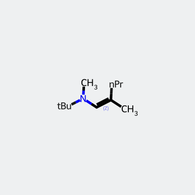 CCC/C(C)=C\N(C)C(C)(C)C